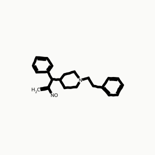 C=C(N=O)C(c1ccccc1)C1CCN(CCc2ccccc2)CC1